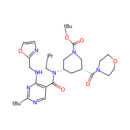 CC(C)CN(C(=O)c1cnc(C(C)(C)C)nc1NCc1ncco1)[C@H]1C[C@@H](C(=O)N2CCOCC2)CN(C(=O)OC(C)(C)C)C1